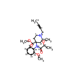 CC#CCN1CCC(C(=O)OC)(N(C(=O)C(C)OC)c2ccccc2OC)CC1